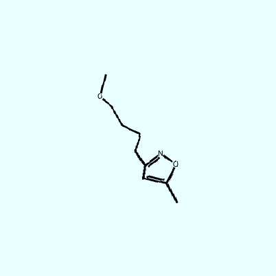 COCCCCc1cc(C)on1